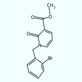 COC(=O)c1cccn(Cc2ccccc2Br)c1=O